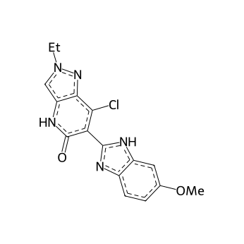 CCn1cc2[nH]c(=O)c(-c3nc4ccc(OC)cc4[nH]3)c(Cl)c2n1